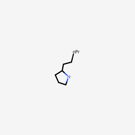 CCCCCC1CCC[N]1